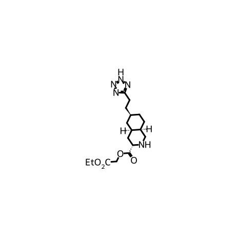 CCOC(=O)COC(=O)[C@@H]1C[C@H]2C[C@@H](CCc3nn[nH]n3)CC[C@H]2CN1